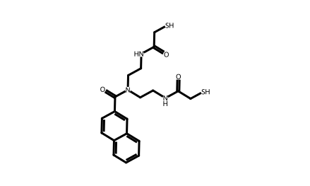 O=C(CS)NCCN(CCNC(=O)CS)C(=O)c1ccc2ccccc2c1